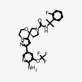 CC(C)(NC(=O)N1CC[C@]2(C1)OCCn1nc(-c3cnc(N)c(OC(F)(F)F)c3)cc12)c1ccccc1F